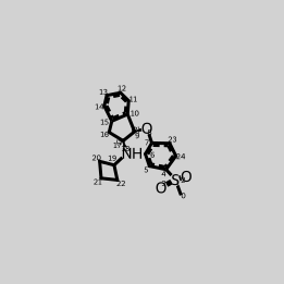 CS(=O)(=O)c1ccc(O[C@@H]2c3ccccc3C[C@@H]2NC2CCC2)cc1